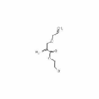 C=CCOCC(=C)C(=O)OCCBr